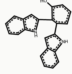 Oc1cccc(-c2cc3ccccc3[nH]2)c1-c1cc2ccccc2[nH]1